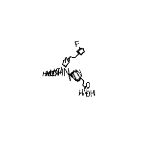 Cl.Cl.Cl.Cl.O=C(C=Cc1cnc(N[C@@H]2CCN(CCc3cccc(F)c3)C2)cn1)NO